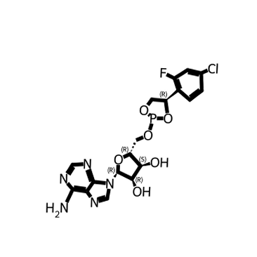 Nc1ncnc2c1ncn2[C@@H]1O[C@H](COP2OC[C@@H](c3ccc(Cl)cc3F)O2)[C@@H](O)[C@H]1O